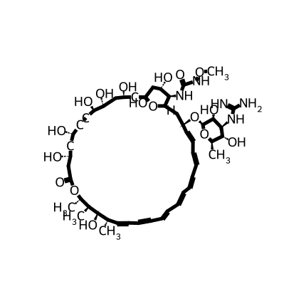 CONC(=O)N[C@H]1[C@@H]2C[C@@H](O[C@@H]3O[C@H](C)[C@@H](O)[C@H](NC(=N)N)[C@@H]3O)/C=C/C=C/C=C/C=C/C=C/C=C/C=C/[C@H](C)[C@@H](O)[C@@H](C)[C@H](C)OC(=O)C[C@H](O)C[C@H](O)CC[C@@H](O)[C@H](O)C[C@H](O)C[C@](O)(C[C@@H]1O)O2